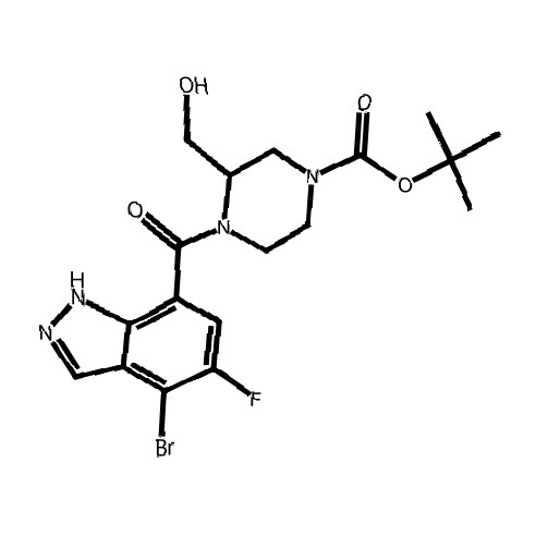 CC(C)(C)OC(=O)N1CCN(C(=O)c2cc(F)c(Br)c3cn[nH]c23)C(CO)C1